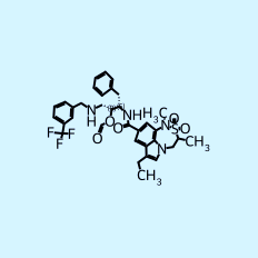 CCc1cn2c3c(cc(C(=O)N[C@@H](Cc4ccccc4)[C@@H](CNCc4cccc(C(F)(F)F)c4)OC=O)cc13)N(C)S(=O)(=O)C(C)C2